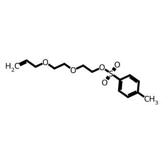 C=CCOCCOCCOS(=O)(=O)c1ccc(C)cc1